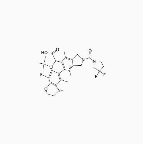 Cc1c(-c2c(C)c3c(c(C)c2C(OC(C)(C)C)C(=O)O)CN(C(=O)N2CCC(F)(F)C2)C3)cc(F)c2c1NCCO2